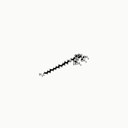 CCCCCCCCCCCCCCCCCCOCC(COP(=O)(O)CCN(C)C)NC(C)=O